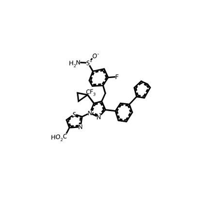 N[S+]([O-])c1ccc(Cc2c(-c3cccc(-c4ccccc4)c3)nn(-c3nc(C(=O)O)cs3)c2C2(C(F)(F)F)CC2)c(F)c1